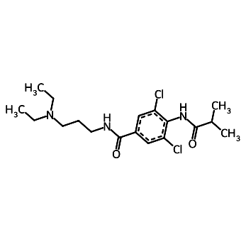 CCN(CC)CCCNC(=O)c1cc(Cl)c(NC(=O)C(C)C)c(Cl)c1